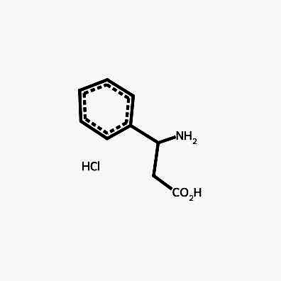 Cl.NC(CC(=O)O)c1ccccc1